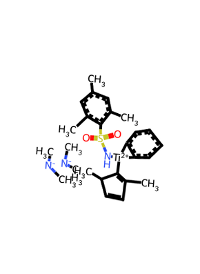 CC1=[C]([Ti+2]2([NH]S(=O)(=O)c3c(C)cc(C)cc3C)[c]3cccc[c]32)C(C)C=C1.C[N-]C.C[N-]C